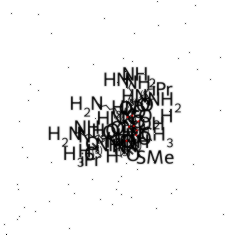 CSCC[C@H](NC(=O)[C@@H]1CCCN1C(=O)[C@H](CO)NC(=O)[C@H](CCCNC(=N)N)NC(=O)[C@@H](C)CC(C)C)C(=O)N[C@H](C(=O)N[C@@H](CC(=O)O)C(=O)N[C@@H](CCCCN)C(=O)N[C@@H](Cc1ccc(O)cc1)C(=O)N[C@@H](CCCNC(=N)N)C(=O)N[C@@H](CC(C)C)C(N)=O)[C@@H](C)O